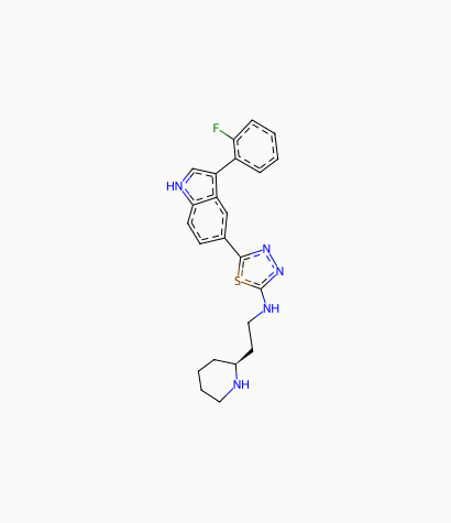 Fc1ccccc1-c1c[nH]c2ccc(-c3nnc(NCC[C@@H]4CCCCN4)s3)cc12